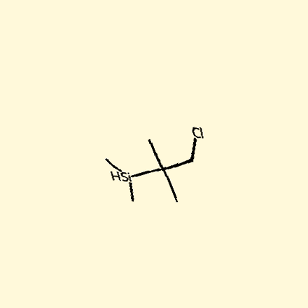 C[SiH](C)C(C)(C)CCl